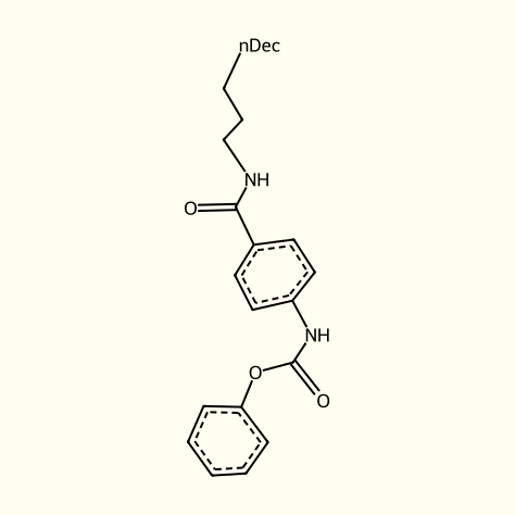 CCCCCCCCCCCCCNC(=O)c1ccc(NC(=O)Oc2ccccc2)cc1